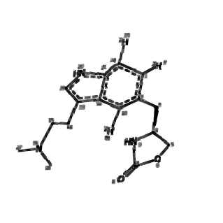 [2H]c1c(C[C@H]2COC(=O)N2)c([2H])c2c(CCN(C)C)c[nH]c2c1[2H]